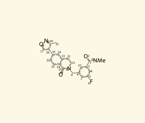 CNC(=O)c1cc(F)cc(Cn2ccc3cc(-c4conc4C)ccc3c2=O)c1